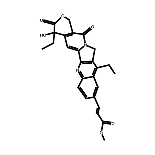 CCc1c2c(nc3ccc(C=CC(=O)OC)cc13)-c1cc3c(c(=O)n1C2)COC(=O)C3(O)CC